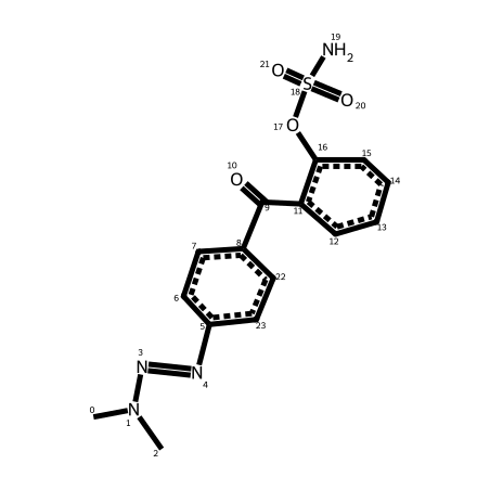 CN(C)N=Nc1ccc(C(=O)c2ccccc2OS(N)(=O)=O)cc1